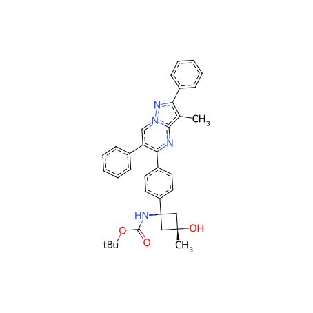 Cc1c(-c2ccccc2)nn2cc(-c3ccccc3)c(-c3ccc([C@]4(NC(=O)OC(C)(C)C)C[C@](C)(O)C4)cc3)nc12